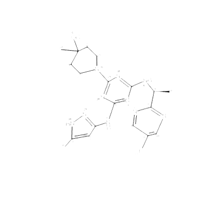 Cc1cc(Nc2nc(N[C@@H](C)c3ncc(F)cn3)nc(N3CCC(C)(O)CC3)n2)n[nH]1